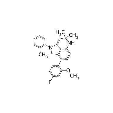 COc1cc(F)ccc1-c1ccc2c3c1CN(c1ccccc1C)C3=CC(C)(C)N2